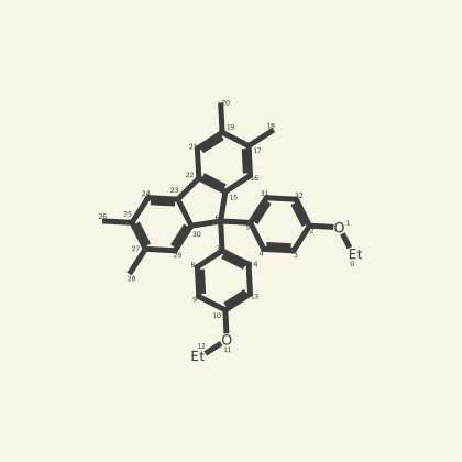 CCOc1ccc(C2(c3ccc(OCC)cc3)c3cc(C)c(C)cc3-c3cc(C)c(C)cc32)cc1